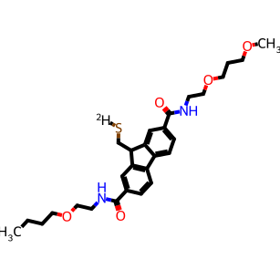 [2H]SCC1c2cc(C(=O)NCCOCCCC)ccc2-c2ccc(C(=O)NCCOCCCOC)cc21